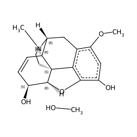 CO.COc1cc(O)c2c3c1C[C@@H]1[C@@H]4C=C[C@H](O)[C@H](O2)[C@]34CCN1C